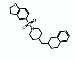 O=S(=O)(c1ccc2c(c1)CCO2)N1CCC(CC2CCc3ccccc3C2)CC1